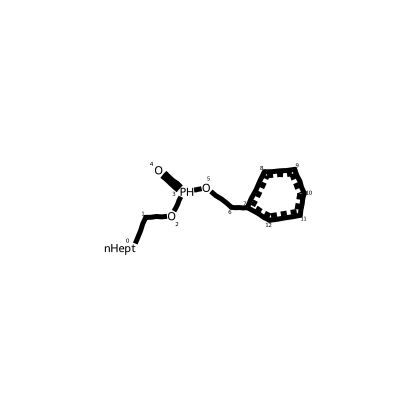 CCCCCCCCO[PH](=O)OCc1ccccc1